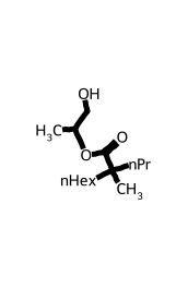 CCCCCCC(C)(CCC)C(=O)OC(C)CO